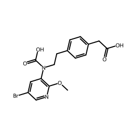 COc1ncc(Br)cc1N(CCc1ccc(CC(=O)O)cc1)C(=O)O